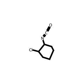 O=C=NC1CCCCC1Cl